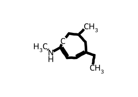 CC/C1=C/C=C(/NC)CCC(C)C1